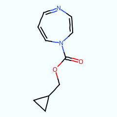 O=C(OCC1CC1)N1C=CC=NC=C1